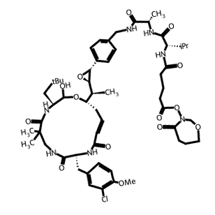 COc1ccc(C[C@H]2NC(=O)/C=C/C[C@@H]([C@H](C)[C@H]3O[C@@H]3c3ccc(CNC(=O)[C@H](C)NC(=O)[C@@H](NC(=O)CCCC(=O)ON4COCCCC4=O)C(C)C)cc3)OC(O)[C@H](CC(C)(C)C)NC(=O)C(C)(C)CNC2=O)cc1Cl